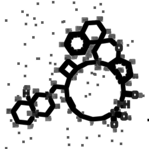 O=C1NS(=O)(=O)CCCC=CC(CN2CCN3CCCC[C@@H]3C2)C2CCC2CN2CC3(CCCc4ccccc43)COc3ccc1cc32